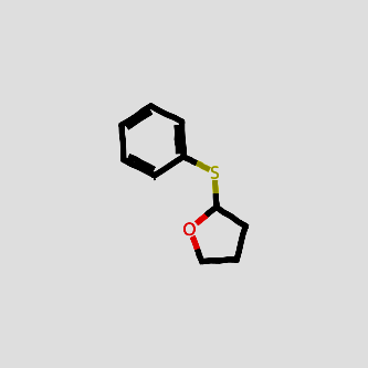 [c]1ccccc1SC1CCCO1